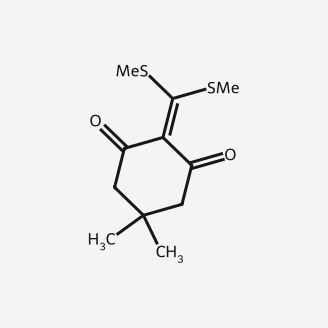 CSC(SC)=C1C(=O)CC(C)(C)CC1=O